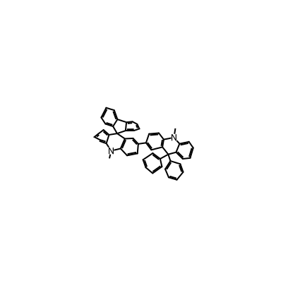 CN1c2ccccc2C(c2ccccc2)(c2ccccc2)c2cc(-c3ccc4c(c3)C3(c5ccccc5-c5ccccc53)c3ccccc3N4C)ccc21